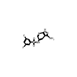 Nc1n[nH]c2ncc(NS(=O)(=O)c3cc(F)cc(F)c3)cc12